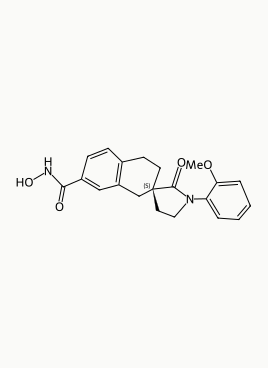 COc1ccccc1N1CC[C@@]2(CCc3ccc(C(=O)NO)cc3C2)C1=O